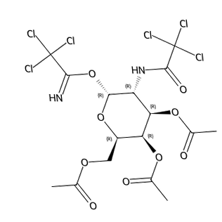 CC(=O)OC[C@H]1O[C@H](OC(=N)C(Cl)(Cl)Cl)[C@H](NC(=O)C(Cl)(Cl)Cl)[C@@H](OC(C)=O)[C@H]1OC(C)=O